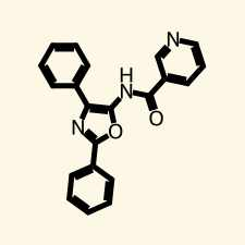 O=C(Nc1oc(-c2ccccc2)nc1-c1ccccc1)c1cccnc1